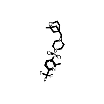 Cc1nc(C(F)(F)F)ccc1S(=O)(=O)N1CCN(CC23CCOC(C)(C2)C3)CC1